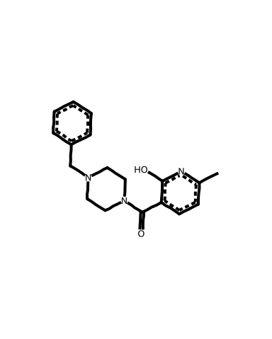 Cc1ccc(C(=O)N2CCN(Cc3ccccc3)CC2)c(O)n1